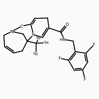 [2H]C([2H])([2H])C12CC=CCN(CC3=CCC(C(=O)NCc4c(F)cc(F)cc4F)=CN31)C2